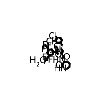 CN(C(=O)c1cc(C(F)(F)F)cc(C(F)(F)F)c1)[C@@H](/C=C/C(=O)N[C@@H]1CCCCNC1=O)Cc1ccc(Cl)c(Cl)c1.O